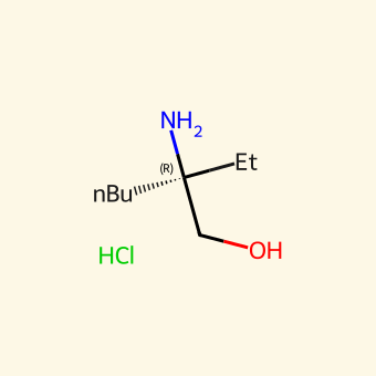 CCCC[C@](N)(CC)CO.Cl